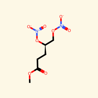 COC(=O)CC[C@H](CO[N+](=O)[O-])O[N+](=O)[O-]